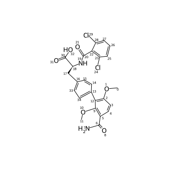 COc1ccc(C(N)=O)c(OC)c1-c1ccc(C[C@H](NC(=O)c2c(Cl)cccc2Cl)C(=O)O)cc1